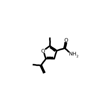 C=C(C)c1cc(C(N)=O)c(C)o1